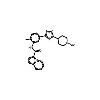 CC(=O)N1CCC(c2nc(-c3ccc(C)c(NC(=O)c4cnc5ccccn45)c3)no2)CC1